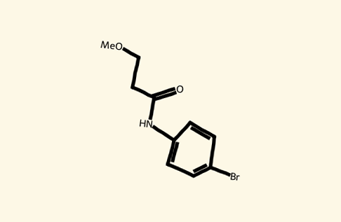 COCCC(=O)Nc1ccc(Br)cc1